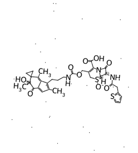 CC1=C(CCCNC(=O)OCC2=C(C(=O)O)N3C(=O)[C@H](NC(=O)Cc4cccs4)[C@@H]3[S+]([O-])C2)C2=C(C)C3(CC3)[C@@](C)(O)C(=O)C2=C1